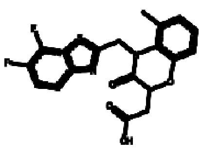 Cc1cccc2c1N(Cc1nc3ccc(F)c(F)c3s1)C(=O)C(CC(=O)O)O2